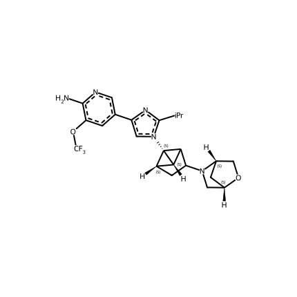 CC(C)c1nc(-c2cnc(N)c(OC(F)(F)F)c2)cn1[C@@]12C3C(N4C[C@@H]5C[C@H]4CO5)C[C@H]1[C@@H]32